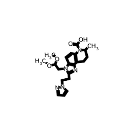 COC(Cn1c(CCn2cccn2)nc2c3c(ccc21)N(C(=O)O)C(C)CC3)OC